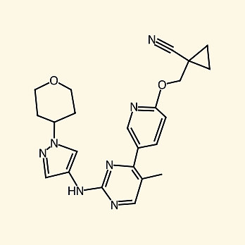 Cc1cnc(Nc2cnn(C3CCOCC3)c2)nc1-c1ccc(OCC2(C#N)CC2)nc1